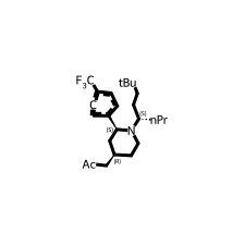 CCC[C@@H](CCC(C)(C)C)N1CC[C@@H](CC(C)=O)C[C@H]1c1ccc(C(F)(F)F)cc1